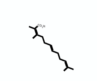 CC(C)=CCCC=CCCC(C)=C(C)C(=O)O